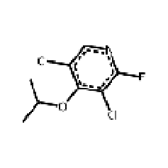 CC(C)Oc1c(Cl)cnc(F)c1Cl